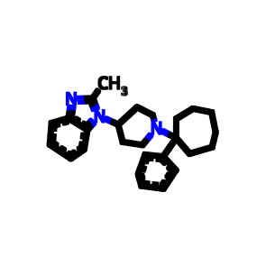 Cc1nc2ccccc2n1C1CCN(C2(c3ccccc3)CCCCCC2)CC1